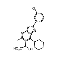 Cc1nc2cc(-c3cccc(Cl)c3)nn2c(C2CCCCC2)c1C(O)C(=O)O